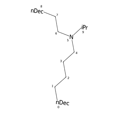 CCCCCCCCCCCCCCN(CCCCCCCCCCCC)C(C)C